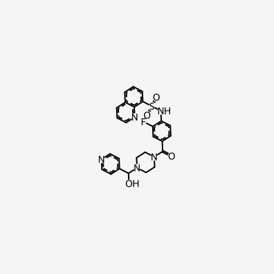 O=C(c1ccc(NS(=O)(=O)c2cccc3cccnc23)c(F)c1)N1CCN(C(O)c2ccncc2)CC1